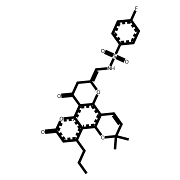 CCCc1[c]c(=O)oc2c3c(c4c(c12)OC(C)(C)C=C4)OC(=CNS(=O)(=O)c1ccc(F)cc1)CC3=O